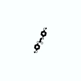 COc1ccc(N=CC(=O)Oc2ccc(OC)cc2)cc1